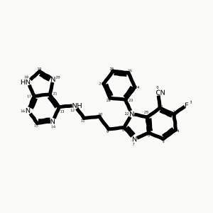 N#Cc1c(F)ccc2nc(CCCNc3ncnc4[nH]cnc34)n(-c3ccccc3)c12